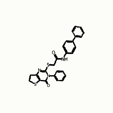 O=C(CSc1nc2c(c(=O)n1-c1ccccc1)SCC2)Nc1ccc(-c2ccccc2)cc1